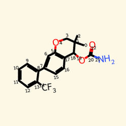 CC1(C)COc2cc(-c3ccccc3C(F)(F)F)ccc2C1OC(N)=O